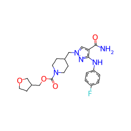 NC(=O)c1cn(CC2CCN(C(=O)OCC3CCOC3)CC2)nc1Nc1ccc(F)cc1